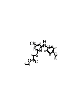 CCOC(=O)CSc1nc(Cl)cc(Nc2ccc(OC)cc2)n1